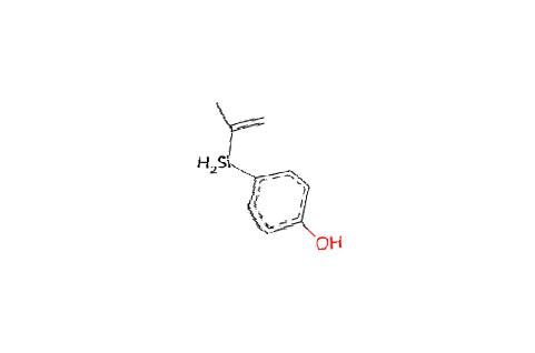 C=C(C)[SiH2]c1ccc(O)cc1